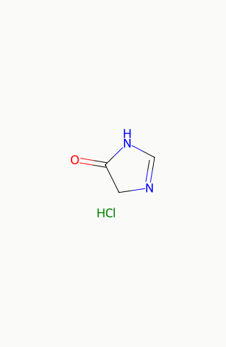 Cl.O=C1CN=CN1